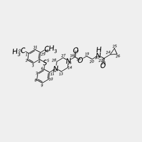 Cc1ccc(Sc2ccccc2N2CCN(C(=O)OCCNC(=O)C3CC3)CC2)c(C)c1